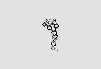 CN1CCN(c2ncc3cc(-c4ccccc4)c(-c4ccc(C5(N(C(=O)O)C(C)(C)C)CCC5)cc4)nc3n2)CC1